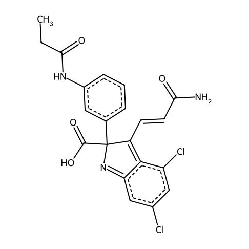 CCC(=O)Nc1cccc(C2(C(=O)O)N=c3cc(Cl)cc(Cl)c3=C2C=CC(N)=O)c1